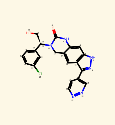 O=C1Nc2cc3[nH]nc(-c4ccnnc4)c3cc2CN1[C@H](CO)c1cccc(Cl)c1